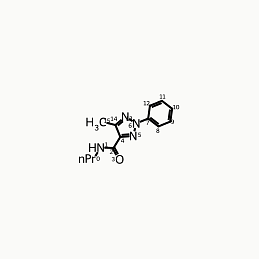 CCCNC(=O)c1nn(-c2ccccc2)nc1C